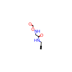 C#CCNC(=O)CNOC=O